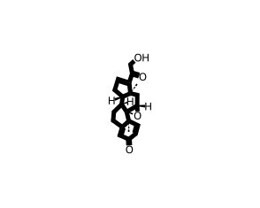 C[C@]12C=CC(=O)C=C1CC[C@H]1[C@@H]3CC=C(C(=O)CO)[C@@]3(C)C[C@@H]3O[C@@]312